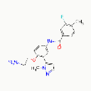 Cc1ccc(C(=O)Nc2ccc(OCCN)c(-c3ccnn3C)c2)cc1F